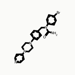 NC(=O)N(Cc1ccc(N2CCN(c3ccncc3)CC2)cc1)c1ccc(Br)cc1